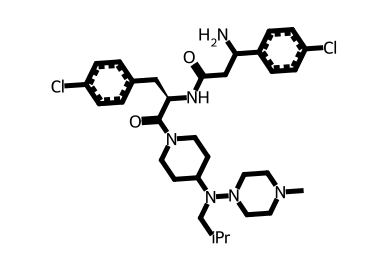 CC(C)CN(C1CCN(C(=O)[C@@H](Cc2ccc(Cl)cc2)NC(=O)CC(N)c2ccc(Cl)cc2)CC1)N1CCN(C)CC1